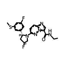 CCNC(=O)c1cnc2ccc(N3C[C@@H](F)C[C@@H]3c3cc(F)cc(SC)c3)nn12